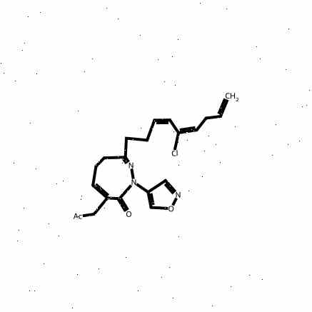 C=CC/C=C(Cl)\C=C/CC/C1=N/N(c2cnoc2)C(=O)C(CC(C)=O)=CCC1